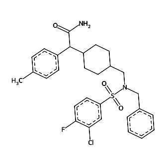 Cc1ccc(C(C(N)=O)C2CCC(CN(Cc3ccccc3)S(=O)(=O)c3ccc(F)c(Cl)c3)CC2)cc1